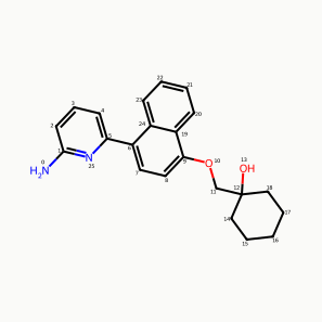 Nc1cccc(-c2ccc(OCC3(O)CCCCC3)c3ccccc23)n1